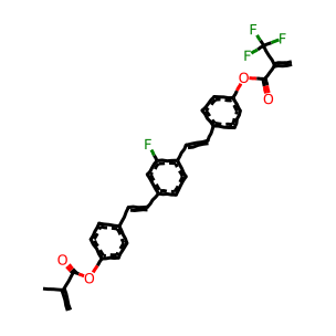 C=C(C)C(=O)Oc1ccc(/C=C/c2ccc(/C=C/c3ccc(OC(=O)C(=C)C(F)(F)F)cc3)c(F)c2)cc1